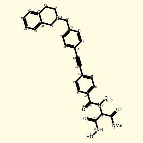 CNC(=O)C(C(=O)NO)N(C)C(=O)c1ccc(C#Cc2ccc(CN3CCc4ccccc4C3)cc2)cc1